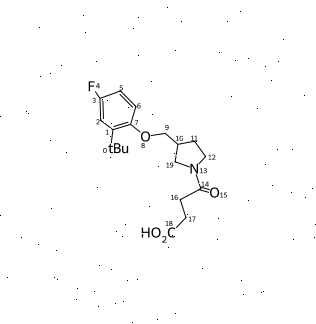 CC(C)(C)c1cc(F)ccc1OCC1CCN(C(=O)CCC(=O)O)C1